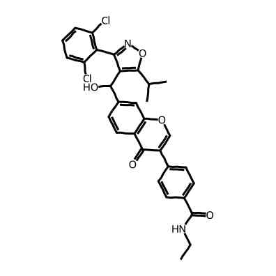 CCNC(=O)c1ccc(-c2coc3cc(C(O)c4c(-c5c(Cl)cccc5Cl)noc4C(C)C)ccc3c2=O)cc1